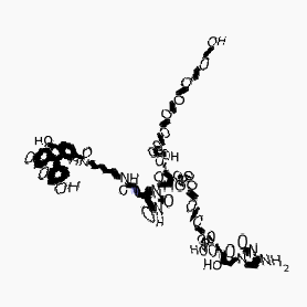 Nc1ccn([C@H]2C[C@@H](O)[C@@H](COP(=O)(O)OCCOCCOCCOP(=O)(O)O[C@@H]3C[C@H](n4cc(/C=C/C(=O)NCCCCCCNC(=O)c5ccc(C(=O)O)c(-c6c7ccc(=O)cc-7oc7cc(O)ccc67)c5)c(=O)[nH]c4=O)O[C@@H]3COP(=O)(O)OCCOCCOCCOCCOCCOCCO)O2)c(=O)n1